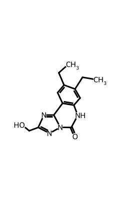 CCc1cc2[nH]c(=O)n3nc(CO)nc3c2cc1CC